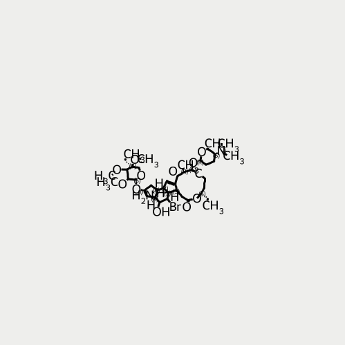 CC[C@H]1CCC[C@H](O[C@H]2CC[C@H](N(C)C)C(C)O2)[C@@H](C)C(=O)C2=C[C@@H]3[C@@H](C(Br)C(O)[C@@H]4C[C@@H](O[C@@H]5OC[C@](CC)(OC)C(OC)C5OC)C[C@@]34N)[C@@H]2CC(=O)O1